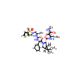 CCCCC(NC(=O)[C@@H]1[C@@H]2[C@H](CN1C(=O)[C@@H](NC(=O)NC(CN1Cc3sccc3S1(=O)=O)C(C)(C)C)C1CCCCC1)C2(C)C)C(=O)C(=O)NCC